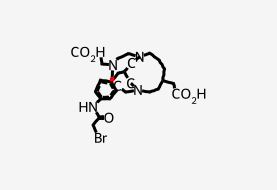 O=C(O)CC1CCCN2CCN(CC(=O)O)CCCN(CC1)CC(Cc1ccc(NC(=O)CBr)cc1)C2